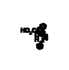 CC(CCCc1ccccc1)Oc1cc(O)c2c(c1)N1CCCCC1CC2CC(=O)O